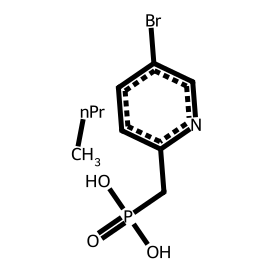 CCCC.O=P(O)(O)Cc1ccc(Br)cn1